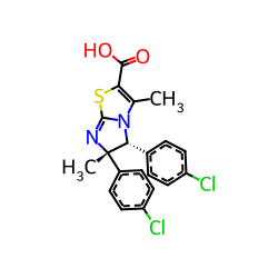 CC1=C(C(=O)O)SC2=N[C@@](C)(c3ccc(Cl)cc3)[C@@H](c3ccc(Cl)cc3)N21